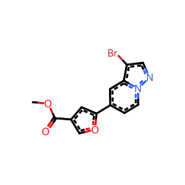 COC(=O)c1coc(-c2ccn3ncc(Br)c3c2)c1